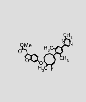 C=C1/C(F)=C\C=C(\c2c(C)cc(-c3cncc(C)n3)cc2C)CCC[C@H]1Oc1ccc2c(c1)OC[C@H]2CC(=O)OC